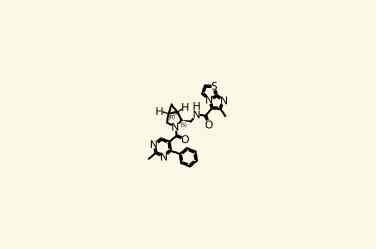 Cc1ncc(C(=O)N2C[C@@H]3C[C@@H]3[C@H]2CNC(=O)c2c(C)nc3sccn23)c(-c2ccccc2)n1